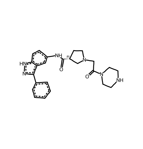 O=C(Nc1ccc2[nH]nc(-c3ccccc3)c2c1)[C@@H]1CCN(CC(=O)N2CCNCC2)C1